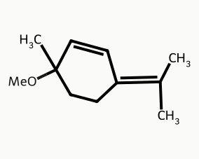 COC1(C)C=CC(=C(C)C)CC1